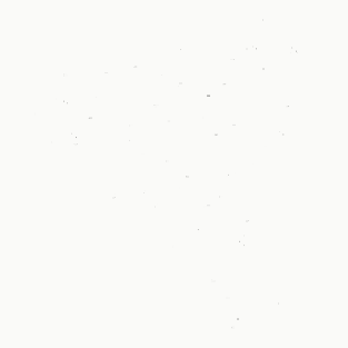 Cc1cnc(-c2ccc(-c3ccccc3-c3cc(-c4ccccc4-c4ccc(-c5nccn5C)cc4)cc(-c4ccccc4-c4ccc(-c5nccn5C)cc4)c3)cc2)cc1O